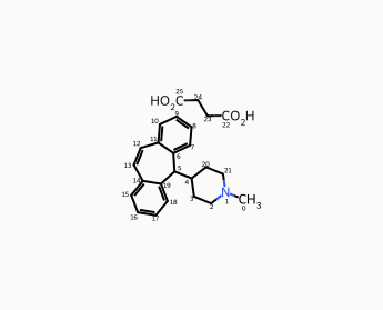 CN1CCC(C2c3ccccc3C=Cc3ccccc32)CC1.O=C(O)CCC(=O)O